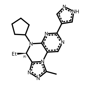 CC[C@@H]1c2nnc(C)n2-c2cnc(-c3cn[nH]c3)nc2N1C1CCCC1